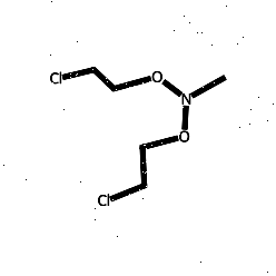 CN(OCCCl)OCCCl